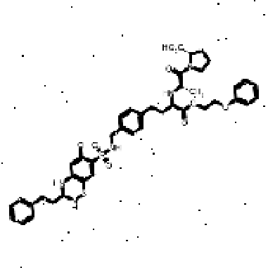 C[C@H](NC(CCc1ccc(CNS(=O)(=O)c2cc3c(cc2Cl)NC(CCc2ccccc2)NS3)cc1)C(=O)OCCOc1ccccc1)C(=O)N1CCC[C@H]1C(=O)O